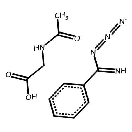 CC(=O)NCC(=O)O.[N-]=[N+]=NC(=N)c1ccccc1